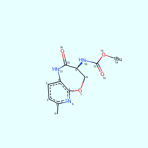 Cc1ccc2c(n1)OC[C@H](NC(=O)OC(C)(C)C)C(=O)N2